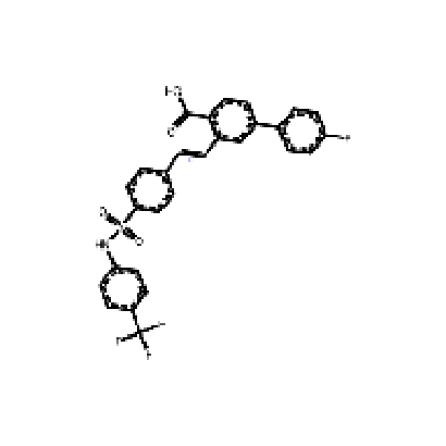 O=C(O)c1ccc(-c2ccc(F)cc2)cc1/C=C/c1ccc(S(=O)(=O)Nc2ccc(C(F)(F)F)cc2)cc1